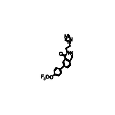 O=c1c2cc(-c3ccc(OC(F)(F)F)cc3)ccc2cnn1CCn1cncn1